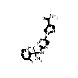 CC(C)(Nc1ncc(-n2cc(C(N)=O)cn2)nn1)c1ncccc1F